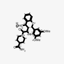 COc1cc(COc2ccccc2C(C=O)CC(N)C(Cl)N2CCC(C(N)=O)CC2)cc(OC)c1.Cl